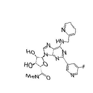 CNC(=O)[C@H]1O[C@H](n2cnc3c(NCc4ccccn4)nc(-c4cncc(F)c4)nc32)[C@H](O)[C@@H]1O